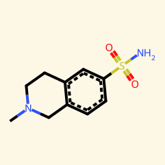 CN1CCc2cc(S(N)(=O)=O)ccc2C1